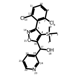 C[Si](C)(C)c1c(-c2c(Cl)cccc2Cl)noc1C(O)c1cccnc1